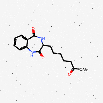 COC(=O)CCCCCC1NC(=O)c2ccccc2NC1=O